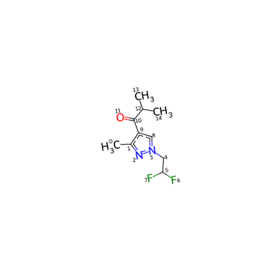 Cc1nn(CC(F)F)cc1C(=O)C(C)C